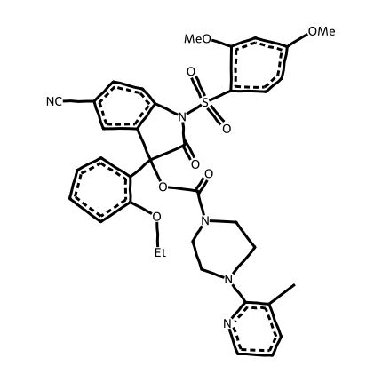 CCOc1ccccc1C1(OC(=O)N2CCN(c3ncccc3C)CC2)C(=O)N(S(=O)(=O)c2ccc(OC)cc2OC)c2ccc(C#N)cc21